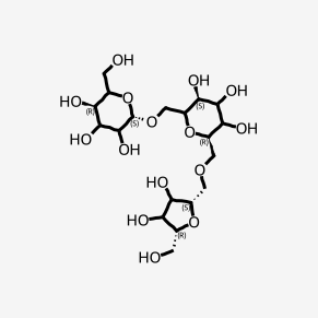 OCC1O[C@H](OCC2O[C@H](COC[C@@H]3O[C@H](CO)C(O)C3O)C(O)C(O)[C@@H]2O)C(O)C(O)[C@H]1O